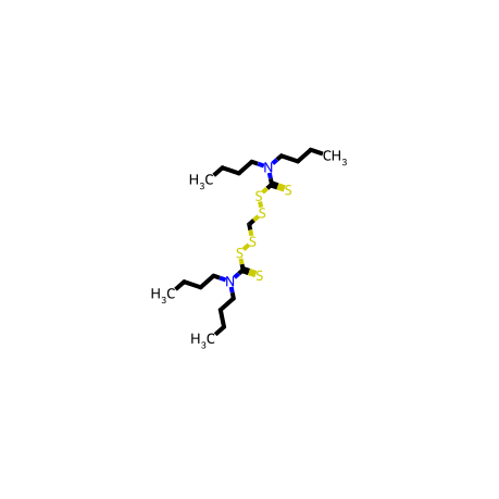 CCCCN(CCCC)C(=S)SSCSSC(=S)N(CCCC)CCCC